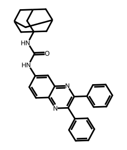 O=C(Nc1ccc2nc(-c3ccccc3)c(-c3ccccc3)nc2c1)NC12CC3CC(CC(C3)C1)C2